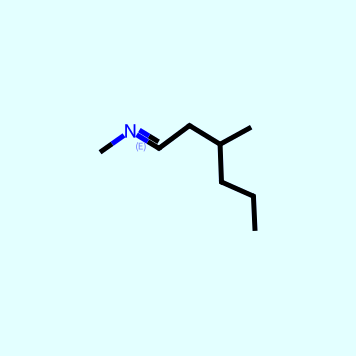 CCCC(C)C/C=N/C